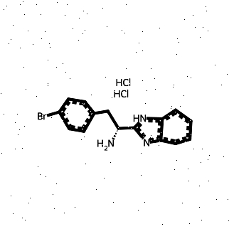 Cl.Cl.N[C@H](Cc1ccc(Br)cc1)c1nc2ccccc2[nH]1